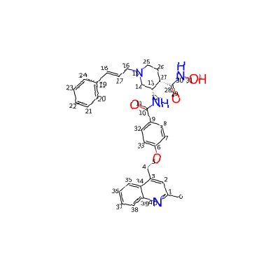 Cc1cc(COc2ccc(C(=O)N[C@@H]3CN(C/C=C/c4ccccc4)CC[C@@H]3C(=O)NO)cc2)c2ccccc2n1